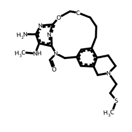 CNc1c(N)nc2nc1N(C=O)Cc1cc(c3c(c1)CN(CCSC)CC3)CCCCCO2